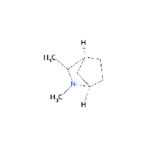 CC1[C@H]2CC[C@H](C2)N1C